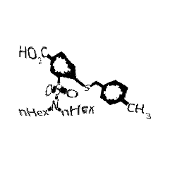 CCCCCCN(CCCCCC)S(=O)(=O)c1cc(C(=O)O)ccc1SCc1ccc(C)cc1